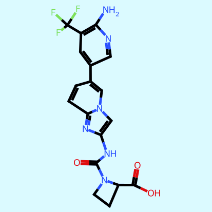 Nc1ncc(-c2ccc3nc(NC(=O)N4CCC4C(=O)O)cn3c2)cc1C(F)(F)F